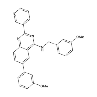 COc1cccc(CNc2nc(-c3cccnc3)nc3ccc(-c4cccc(OC)c4)cc23)c1